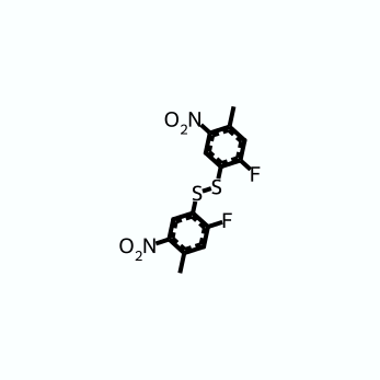 Cc1cc(F)c(SSc2cc([N+](=O)[O-])c(C)cc2F)cc1[N+](=O)[O-]